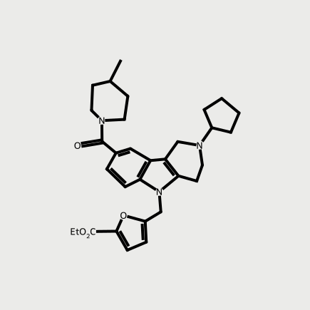 CCOC(=O)c1ccc(Cn2c3c(c4cc(C(=O)N5CCC(C)CC5)ccc42)CN(C2CCCC2)CC3)o1